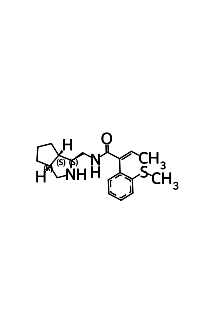 CC=C(C(=O)NC[C@H]1NC[C@@H]2CCC[C@@H]21)c1ccccc1SC